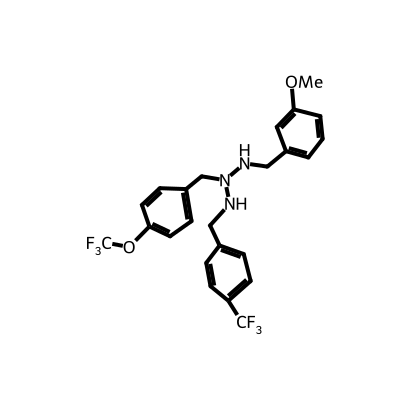 COc1cccc(CNN(Cc2ccc(OC(F)(F)F)cc2)NCc2ccc(C(F)(F)F)cc2)c1